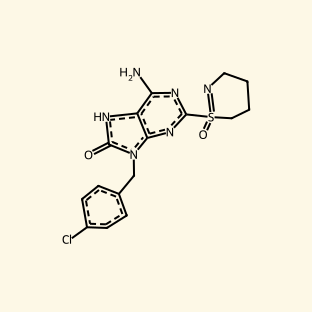 Nc1nc(S2(=O)=NCCCC2)nc2c1[nH]c(=O)n2Cc1ccc(Cl)cc1